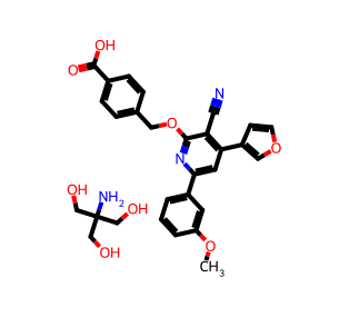 COc1cccc(-c2cc(-c3ccoc3)c(C#N)c(OCc3ccc(C(=O)O)cc3)n2)c1.NC(CO)(CO)CO